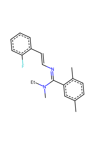 CCN(C)C(=NC=Cc1ccccc1F)c1cc(C)ccc1C